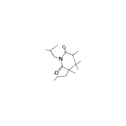 CCCC1(C)C(=O)N(CC(C)C)C(=O)C(C)C1(C)C